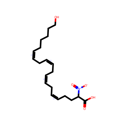 O=C(O)C(CC/C=C\C/C=C\C/C=C\C/C=C\CCCCCO)[N+](=O)[O-]